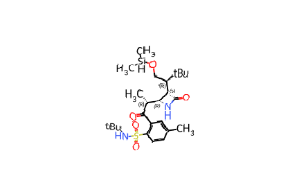 Cc1ccc(S(=O)(=O)NC(C)(C)C)c(C(=O)[C@H](C)[C@H]2NC(=O)[C@H]2[C@@H](CO[SiH](C)C)C(C)(C)C)c1